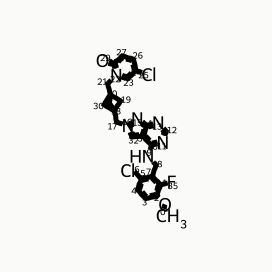 COc1ccc(Cl)c(CNc2ncnc3nn(CC45CC(Cn6cc(Cl)ccc6=O)(C4)C5)cc23)c1F